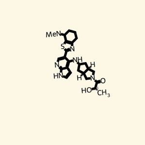 CNC1CCCc2nc(-c3cnc4[nH]ccc4c3NC3C[C@@H]4CN(C(=O)[C@H](C)O)C[C@@H]4C3)sc21